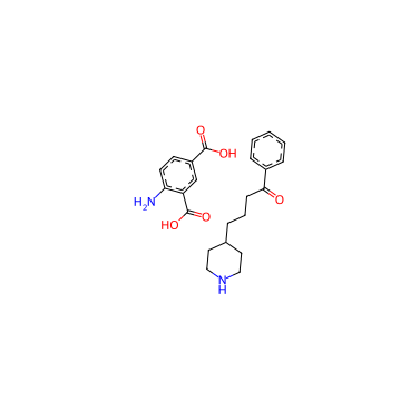 Nc1ccc(C(=O)O)cc1C(=O)O.O=C(CCCC1CCNCC1)c1ccccc1